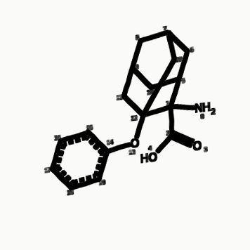 NC1(C(=O)O)C2CC3CC(C2)CC1(Oc1ccccc1)C3